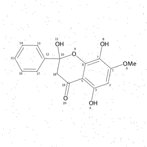 COc1cc(O)c2c(c1O)OC(O)(c1ccccc1)CC2=O